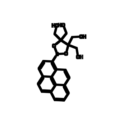 OCC1(CO)OB(c2ccc3ccc4cccc5ccc2c3c45)OC1(CO)CO